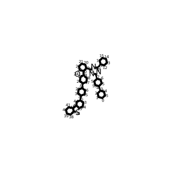 c1ccc(-c2ccc(-c3nc(-c4ccccc4)nc(-c4cccc5oc6cc(-c7ccc(-c8ccc9sc%10ccccc%10c9c8)cc7)ccc6c45)n3)cc2)cc1